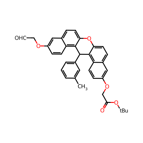 Cc1cccc(C2c3c(ccc4cc(OCC=O)ccc34)Oc3ccc4cc(OCC(=O)OC(C)(C)C)ccc4c32)c1